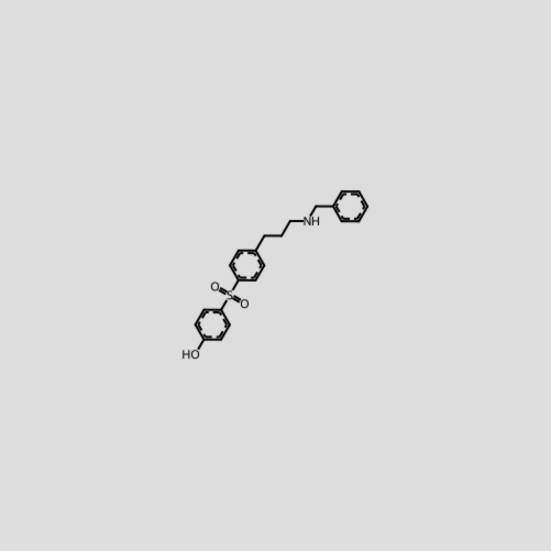 O=S(=O)(c1ccc(O)cc1)c1ccc(CCCNCc2ccccc2)cc1